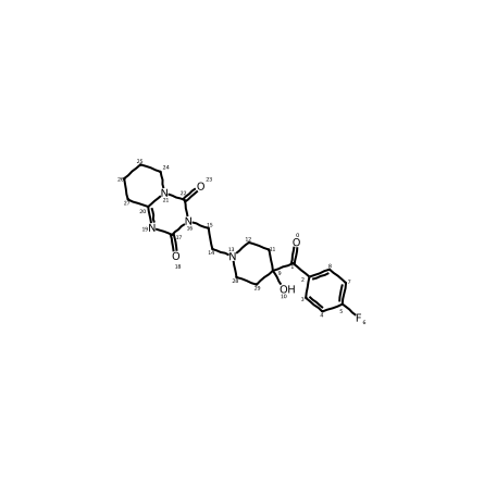 O=C(c1ccc(F)cc1)C1(O)CCN(CCn2c(=O)nc3n(c2=O)CCCC3)CC1